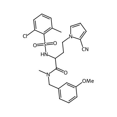 COc1cccc(CN(C)C(=O)C(CCn2cccc2C#N)NS(=O)(=O)c2c(C)cccc2Cl)c1